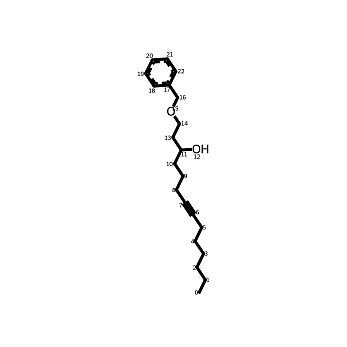 CCCCCCC#CCCCC(O)CCOCc1ccccc1